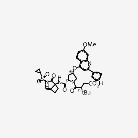 C=C1CCC1(NC(=O)[C@@H]1C[C@@H](Oc2cc(-c3ccccc3)nc3cc(OC)ccc23)CN1C(=O)[C@@H](CC(=O)O)C(C)(C)C)C(=O)NS(=O)(=O)C1CC1